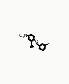 O=[N+]([O-])c1ccc(OCc2cccc(F)c2)c(C2CC2)c1